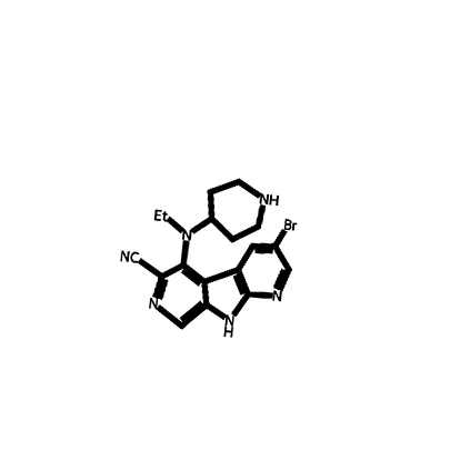 CCN(c1c(C#N)ncc2[nH]c3ncc(Br)cc3c12)C1CCNCC1